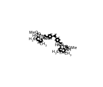 COC(=O)N[C@@H]1C(=O)N2[C@H](c3ncc(-c4ccc([C@H]5C[C@@H]5c5ccc(-c6cnc([C@@H]7C[C@@]8(C)C[C@]89CC(C)[C@H](NC(=O)OC)C(=O)N79)[nH]6)cc5)cc4)[nH]3)C[C@@]3(C)C[C@@]23CC1C